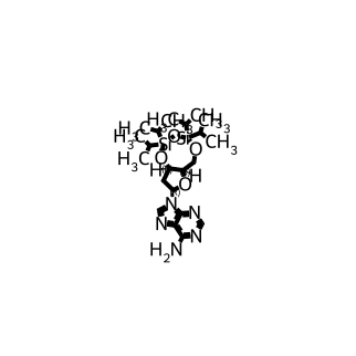 CC(C)[Si]1(C(C)C)OC[C@H]2O[C@@H](n3cnc4c(N)ncnc43)C[C@H]2O[Si](C(C)C)(C(C)C)O1